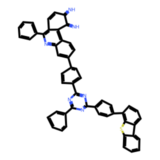 N=C1C=Cc2c(-c3ccccc3)nc3cc(-c4ccc(-c5nc(-c6ccccc6)nc(-c6ccc(-c7cccc8c7sc7ccccc78)cc6)n5)cc4)ccc3c2C1=N